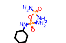 NP(N)(=O)OP(N)(=O)NC1CCCCC1